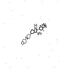 Cc1cc(-c2[nH]c3ccc(C4CCN(C5CCOCC5)CC4)cc3c2C(C)C)cn2cnnc12